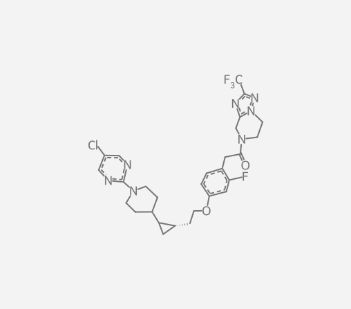 O=C(Cc1ccc(OCC[C@@H]2CC2C2CCN(c3ncc(Cl)cn3)CC2)cc1F)N1CCn2nc(C(F)(F)F)nc2C1